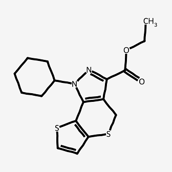 CCOC(=O)c1nn(C2CCCCC2)c2c1CSc1ccsc1-2